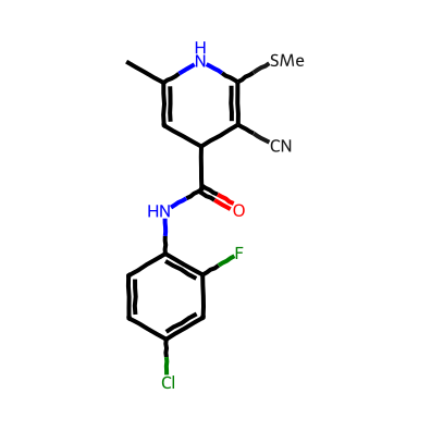 CSC1=C(C#N)C(C(=O)Nc2ccc(Cl)cc2F)C=C(C)N1